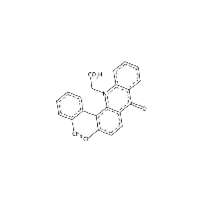 Cc1ccccc1-c1c(Cl)ccc2c(=O)c3ccccc3n(CC(=O)O)c12